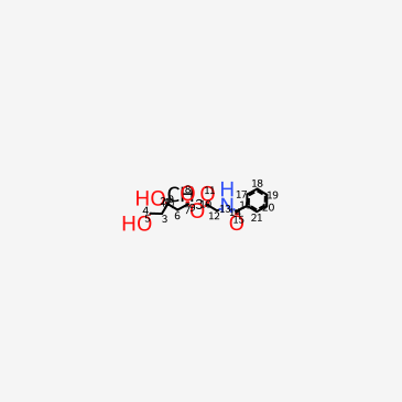 C[C@@](O)(CCO)CC(=O)OC(=O)CNC(=O)c1ccccc1